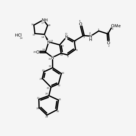 COC(=O)CNC(=O)c1ccc2c(n1)n([C@H]1CCNC1)c(=O)n2-c1ccc(-c2ccccc2)cc1.Cl